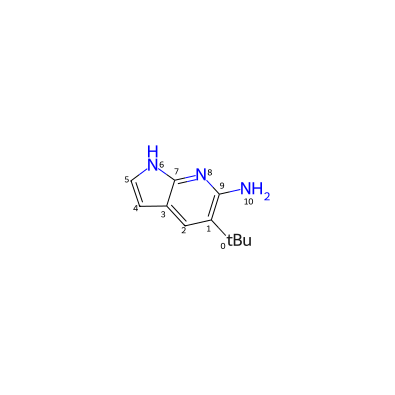 CC(C)(C)c1cc2cc[nH]c2nc1N